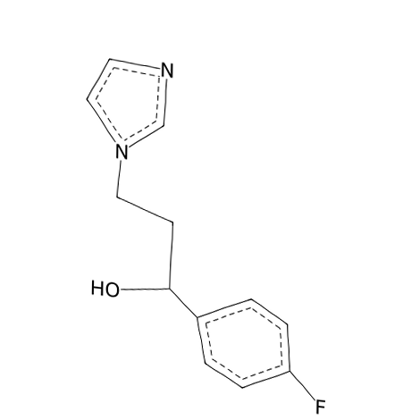 OC(CCn1ccnc1)c1ccc(F)cc1